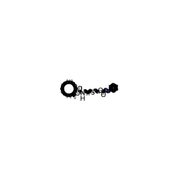 CC1CCCCCCCCCCCCC1OC(=O)NCCCSCCOC(=O)/C=C/c1ccccc1